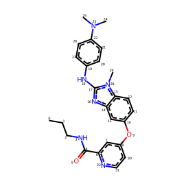 CCCNC(=O)c1cc(Oc2ccc3c(c2)nc(Nc2ccc(N(C)C)cc2)n3C)ccn1